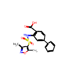 Cc1noc(C)c1S(=O)(=O)Nc1cc(-c2ccccc2)ccc1C(=O)O